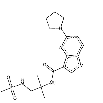 CC(C)(CNS(C)(=O)=O)NC(=O)c1cnn2ccc(N3CCCC3)nc12